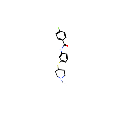 CN1CCC(Sc2cccc(NC(=O)c3ccc(F)cc3)c2)CC1